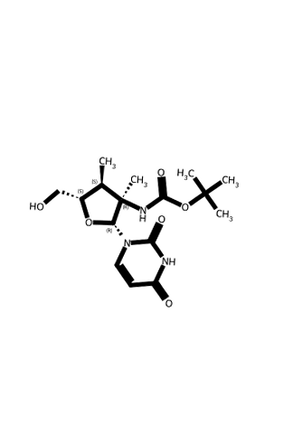 C[C@@H]1[C@@H](CO)O[C@@H](n2ccc(=O)[nH]c2=O)[C@]1(C)NC(=O)OC(C)(C)C